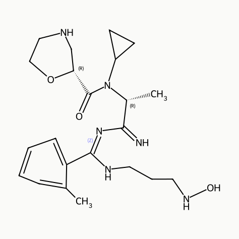 Cc1ccccc1/C(=N/C(=N)[C@@H](C)N(C(=O)[C@H]1CNCCO1)C1CC1)NCCCNO